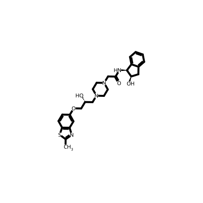 Cc1nc2cc(OC[C@H](O)CN3CCN(CC(=O)N[C@H]4c5ccccc5C[C@H]4O)CC3)ccc2s1